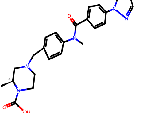 C[C@H]1CN(Cc2ccc(N(C)C(=O)c3ccc(-n4cccn4)cc3)cc2)CCN1C(=O)O